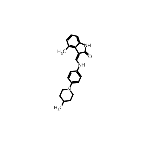 Cc1cccc2c1C(=CNc1ccc(N3CCC(C)CC3)cc1)C(=O)N2